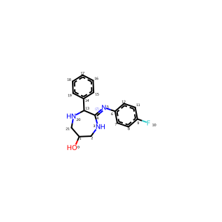 OC1CN/C(=N\c2ccc(F)cc2)C(c2ccccc2)NC1